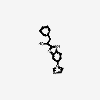 OC(Cc1ccccc1)c1nc2cc(-n3ccnc3)ccc2[nH]1